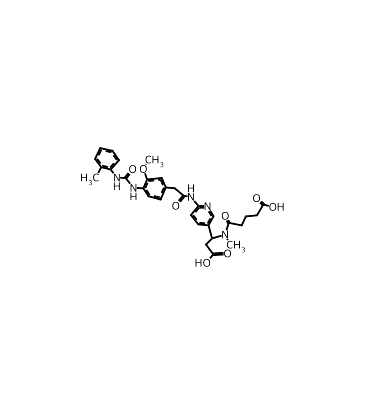 COc1cc(CC(=O)Nc2ccc(C(CC(=O)O)N(C)C(=O)CCCC(=O)O)cn2)ccc1NC(=O)Nc1ccccc1C